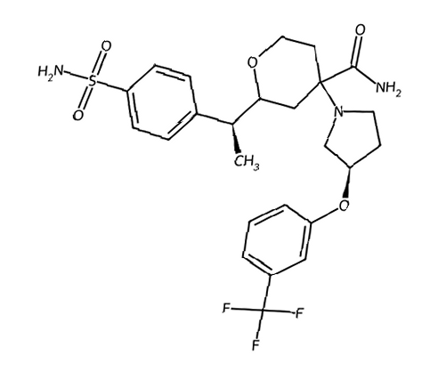 C[C@@H](c1ccc(S(N)(=O)=O)cc1)C1CC(C(N)=O)(N2CC[C@@H](Oc3cccc(C(F)(F)F)c3)C2)CCO1